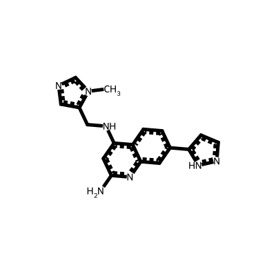 Cn1cncc1CNc1cc(N)nc2cc(-c3ccn[nH]3)ccc12